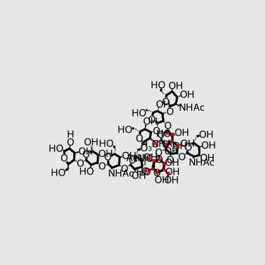 CC(=O)N[C@H]1[C@@H](O[C@H]2[C@@H](O)[C@@H](CO)O[C@@H](O[C@H]3[C@H](O)[C@@H](CO)O[C@@H](OC[C@H]4O[C@@H](O[C@H]5[C@H](O)[C@@H](CO)O[C@@H](O[C@H]6[C@@H](O)[C@@H](CO)O[C@@H](O[C@H]7[C@H](O)[C@@H](O)[C@H](O)O[C@@H]7CO)[C@@H]6O)[C@@H]5NC(C)=O)[C@H](O)[C@@H](O[C@@H]5O[C@H](CO)[C@@H](O)[C@H](O[C@@H]6O[C@H](CO)[C@H](O)[C@H](O[C@H]7O[C@H](CO)[C@H](O)[C@H](O)[C@H]7NC(C)=O)[C@H]6O[C@@H]6O[C@@H](C)[C@@H](O)[C@@H](O)[C@@H]6O)[C@H]5NC(C)=O)[C@H]4O)[C@@H]3NC(C)=O)[C@@H]2O[C@@H]2O[C@@H](C)[C@@H](O)[C@@H](O)[C@@H]2O)O[C@H](CO)[C@H](O)[C@@H]1O